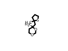 CC1(CC2(C)CCCS2)CCOCO1